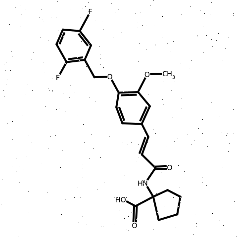 COc1cc(C=CC(=O)NC2(C(=O)O)CCCC2)ccc1OCc1cc(F)ccc1F